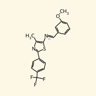 COc1cccc(/C=N/c2sc(-c3ccc(C(F)(F)F)cc3)nc2C)c1